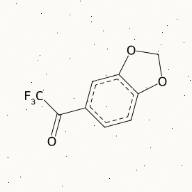 O=C(c1ccc2c(c1)OCO2)C(F)(F)F